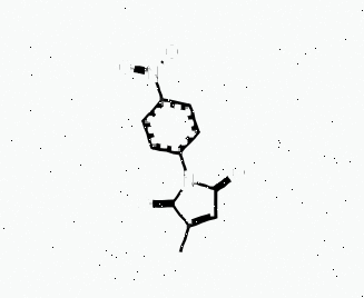 CC1=CC(=O)N(c2ccc([N+](=O)[O-])cc2)C1=O